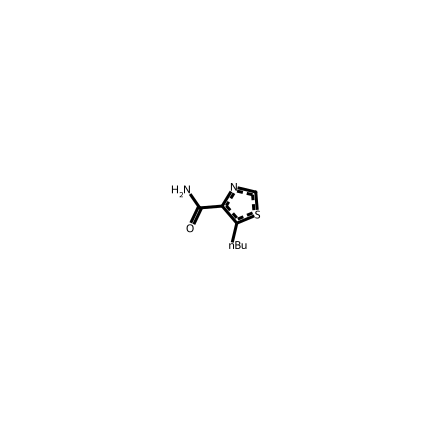 CCCCc1scnc1C(N)=O